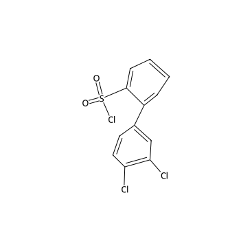 O=S(=O)(Cl)c1ccccc1-c1ccc(Cl)c(Cl)c1